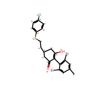 CCc1cc(C)cc(CC)c1C1=C(O)CC(CCSc2ccc(Cl)cc2)CC1=O